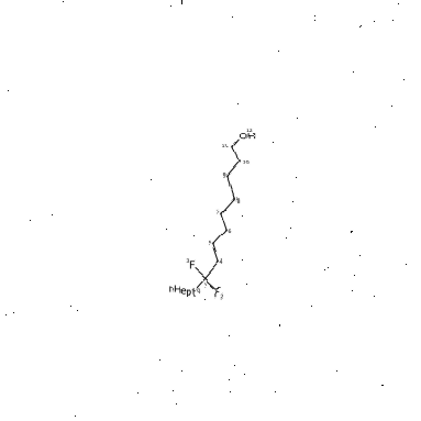 CCCCCCCC(F)(F)CCCCCCCCO